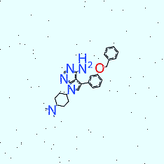 CN(C)C1CCC(n2cc(-c3cccc(OCc4ccccc4)c3)c3c(N)ncnc32)CC1